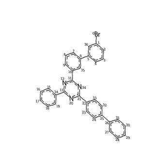 Brc1cccc(-c2cccc(-c3nc(-c4ccccc4)nc(-c4ccc(-c5ccccc5)cc4)n3)c2)c1